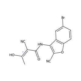 C/C(O)=C(/C#N)C(=O)Nc1c(C#N)oc2ccc(Br)cc12